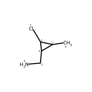 CC1C(Cl)C1CN